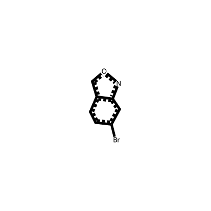 Brc1ccc2conc2c1